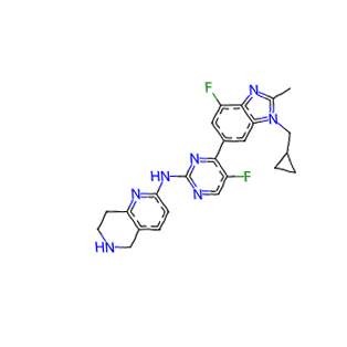 Cc1nc2c(F)cc(-c3nc(Nc4ccc5c(n4)CCNC5)ncc3F)cc2n1CC1CC1